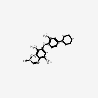 CCN(C)/C=N\c1cc(C)c(Oc2ccc(C3CCCCC3)cc2C(F)(F)F)cc1C